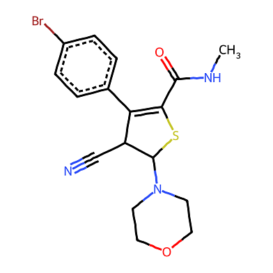 CNC(=O)C1=C(c2ccc(Br)cc2)C(C#N)C(N2CCOCC2)S1